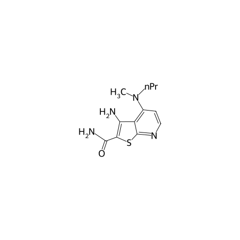 CCCN(C)c1ccnc2sc(C(N)=O)c(N)c12